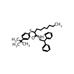 CCCCCCCC(Sc1ccc(C(C)(C)C)cc1)C(=O)NCC(c1ccccc1)c1ccccc1